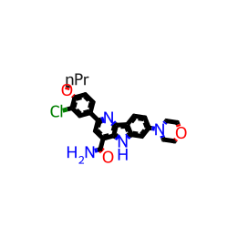 CCCOc1ccc(-c2cc(C(N)=O)c3[nH]c4cc(N5CCOCC5)ccc4c3n2)cc1Cl